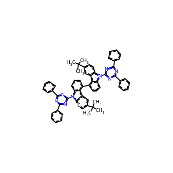 CC(C)(C)c1ccc2c(c1)c1c(-c3cccc4c3c3cc(C(C)(C)C)ccc3n4-c3nc(-c4ccccc4)nc(-c4ccccc4)n3)cccc1n2-c1nc(-c2ccccc2)nc(-c2ccccc2)n1